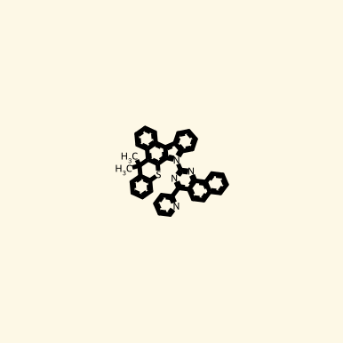 CC1(C)c2ccccc2Sc2c1c1ccccc1c1c3ccccc3n(-c3nc(-c4ccccn4)c4ccc5ccccc5c4n3)c21